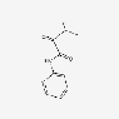 CC(C)C(=O)C(=O)Nc1ccccn1